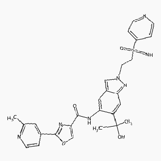 Cc1cc(-c2nc(C(=O)Nc3cc4cn(CCS(=N)(=O)c5ccncc5)nc4cc3C(C)(C)O)co2)ccn1